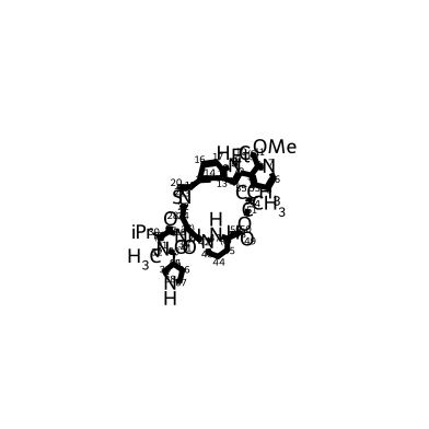 CCn1c(-c2cccnc2[C@H](C)OC)c2c3cc(ccc31)-c1csc(n1)C[C@H](NC(=O)[C@H](C(C)C)N(C)C(=O)[C@H]1CCNC1)C(=O)N1CCC[C@H](N1)C(=O)OCC(C)(C)C2